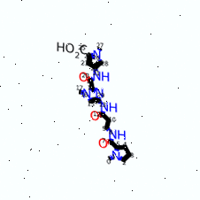 CN1CCCC1C(=O)NCCC(=O)Nc1cn(C)c(C(=O)Nc2cc(C(=O)O)n(C)c2)n1